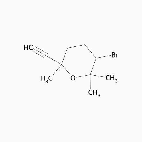 C#CC1(C)CCC(Br)C(C)(C)O1